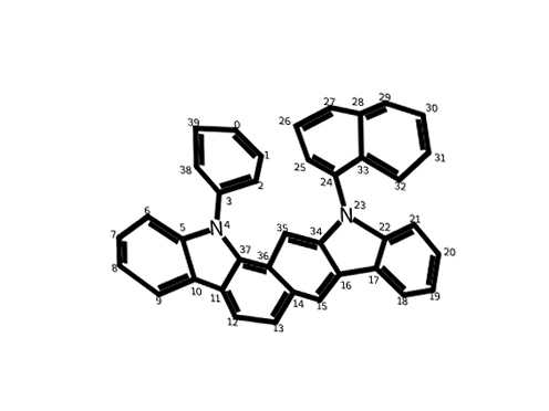 c1ccc(-n2c3ccccc3c3ccc4cc5c6ccccc6n(-c6cccc7ccccc67)c5cc4c32)cc1